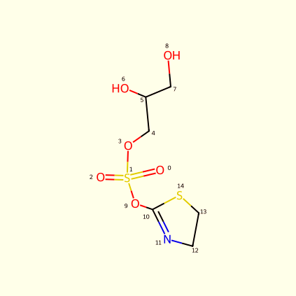 O=S(=O)(OCC(O)CO)OC1=NCCS1